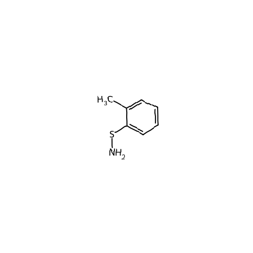 Cc1ccccc1SN